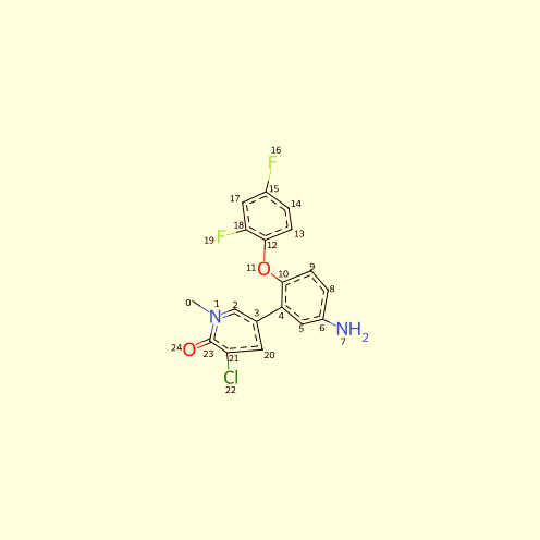 Cn1cc(-c2cc(N)ccc2Oc2ccc(F)cc2F)cc(Cl)c1=O